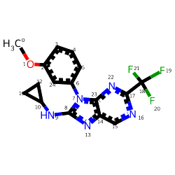 COc1cccc(-n2c(NC3CC3)nc3cnc(C(F)(F)F)nc32)c1